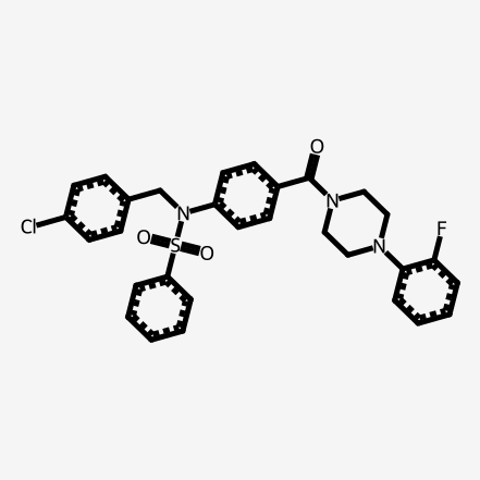 O=C(c1ccc(N(Cc2ccc(Cl)cc2)S(=O)(=O)c2ccccc2)cc1)N1CCN(c2ccccc2F)CC1